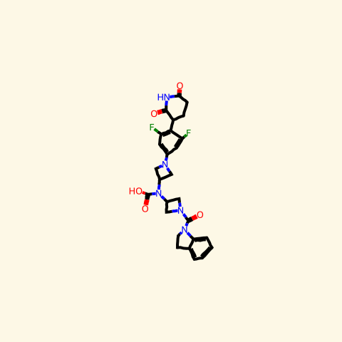 O=C1CCC(c2c(F)cc(N3CC(N(C(=O)O)C4CN(C(=O)N5CCc6ccccc65)C4)C3)cc2F)C(=O)N1